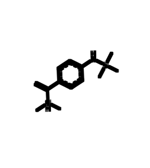 C=C(c1ccc(N[Si](C)(C)C)cc1)[SiH](C)C